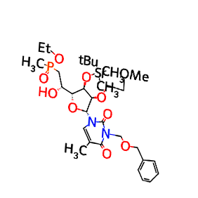 CCOP(C)(=O)C[C@@H](O)[C@H]1O[C@@H](n2cc(C)c(=O)n(COCc3ccccc3)c2=O)[C@H](OCCOC)[C@@H]1O[Si](C)(C)C(C)(C)C